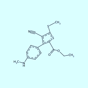 CCOC(=O)c1sc(SC)c(C#N)c1-c1ccc(NC)cc1